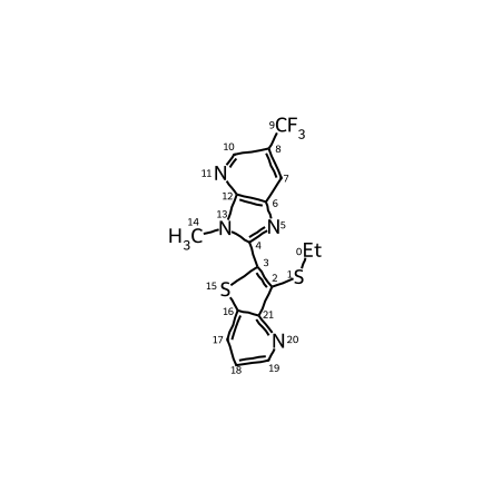 CCSc1c(-c2nc3cc(C(F)(F)F)cnc3n2C)sc2cccnc12